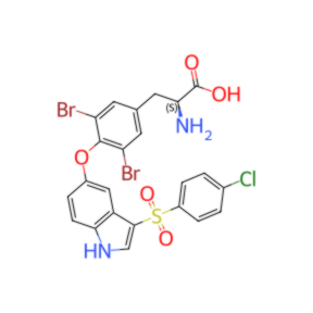 N[C@@H](Cc1cc(Br)c(Oc2ccc3[nH]cc(S(=O)(=O)c4ccc(Cl)cc4)c3c2)c(Br)c1)C(=O)O